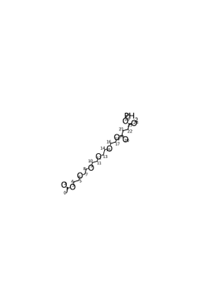 CC(=O)OCCOCCOCCOCCOCCOC(=O)CCC(=O)OP